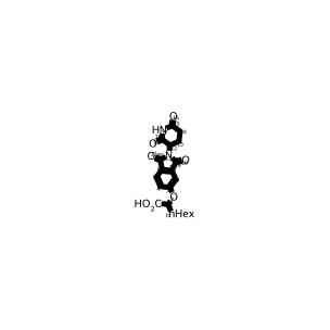 CCCCCCC(Oc1ccc2c(c1)C(=O)N(C1CCC(=O)NC1=O)C2=O)C(=O)O